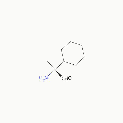 C[C@](N)(C=O)C1CCCCC1